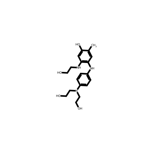 Cc1cc(Nc2ccc(N(CCO)CCO)cc2)c(NCCO)cc1O